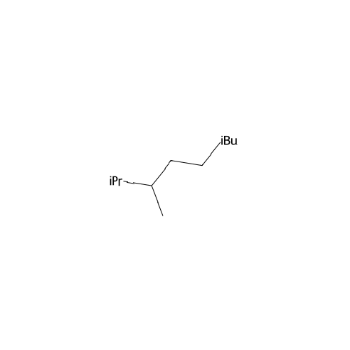 CCC(C)CCC(C)C(C)C